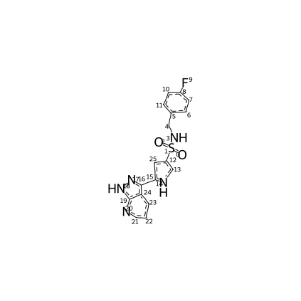 O=S(=O)(NCc1ccc(F)cc1)c1c[nH]c(-c2n[nH]c3ncccc23)c1